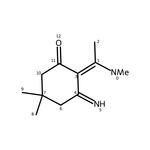 CN/C(C)=C1\C(=N)CC(C)(C)CC1=O